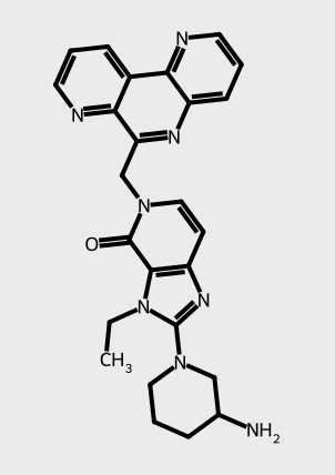 CCn1c(N2CCCC(N)C2)nc2ccn(Cc3nc4cccnc4c4cccnc34)c(=O)c21